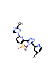 CCS(=O)(=O)c1ccc(-n2cnc(C#N)n2)nc1-c1nnc(-c2cc(C(F)(F)F)ccn2)n1C